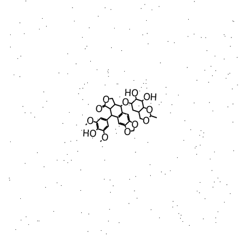 COc1cc(C2c3cc4c(cc3C(OC3CC5COC(C)OC5C(O)C3O)C3COC(=O)C23)OCO4)cc(OC)c1O